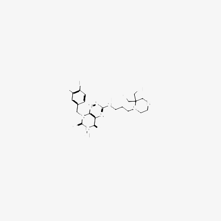 CCC1(CC)CNCCN1CCCNc1nnc2c(n1)c(=O)n(C)c(=O)n2Cc1ccc(F)c(F)c1